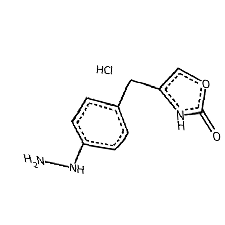 Cl.NNc1ccc(Cc2coc(=O)[nH]2)cc1